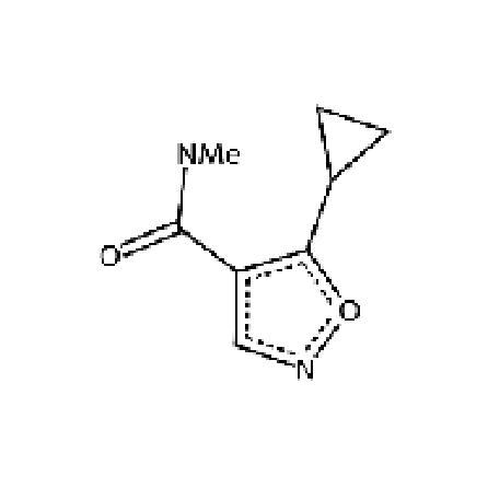 CNC(=O)c1cnoc1C1CC1